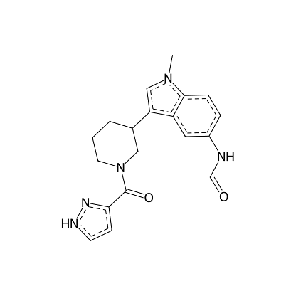 Cn1cc(C2CCCN(C(=O)c3cc[nH]n3)C2)c2cc(NC=O)ccc21